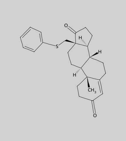 C[C@]12CCC(=O)C=C1CC[C@H]1[C@@H]3CCC(=O)[C@@]3(CSc3ccccc3)CC[C@@H]12